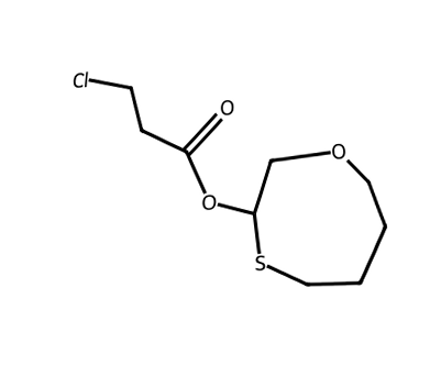 O=C(CCCl)OC1COCCCCS1